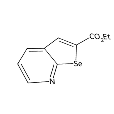 CCOC(=O)c1cc2cccnc2[se]1